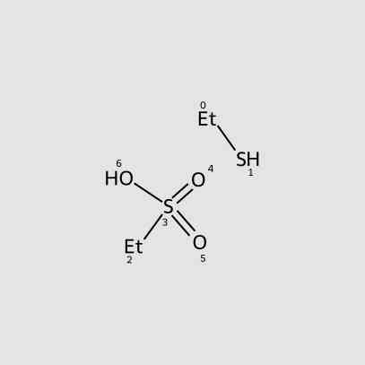 CCS.CCS(=O)(=O)O